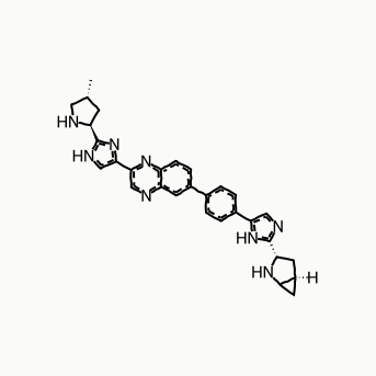 C[C@H]1CN[C@H](c2nc(-c3cnc4cc(-c5ccc(-c6cnc([C@@H]7C[C@H]8CC8N7)[nH]6)cc5)ccc4n3)c[nH]2)C1